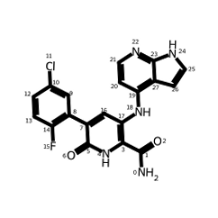 NC(=O)c1[nH]c(=O)c(-c2cc(Cl)ccc2F)cc1Nc1ccnc2[nH]ccc12